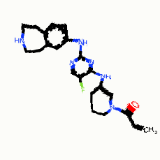 C=CC(=O)N1CCCC(Nc2nc(Nc3ccc4c(c3)CCNCC4)ncc2F)C1